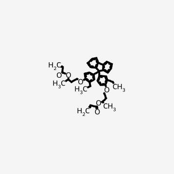 C=CC(=O)OC(C)CCOc1ccc(C2(c3ccc(OCCC(C)OC(=O)C=C)c(CC)c3)c3ccccc3-c3ccccc32)cc1CC